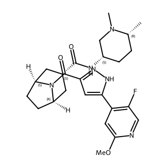 COc1cc(-c2cc(C(=O)N3[C@@H]4CC[C@H]3C[C@H](C(=O)N[C@H]3CC[C@@H](C)N(C)C3)C4)n[nH]2)c(F)cn1